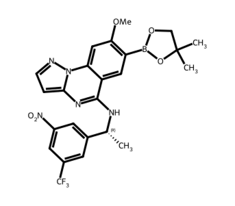 COc1cc2c(cc1B1OCC(C)(C)O1)c(N[C@H](C)c1cc([N+](=O)[O-])cc(C(F)(F)F)c1)nc1ccnn12